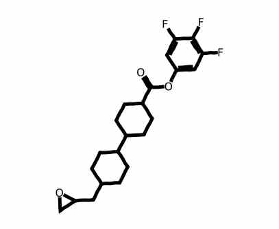 O=C(Oc1cc(F)c(F)c(F)c1)C1CCC(C2CCC(CC3CO3)CC2)CC1